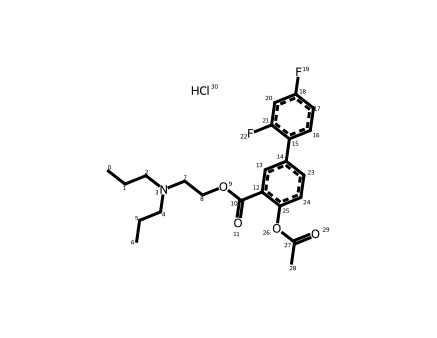 CCCN(CCC)CCOC(=O)c1cc(-c2ccc(F)cc2F)ccc1OC(C)=O.Cl